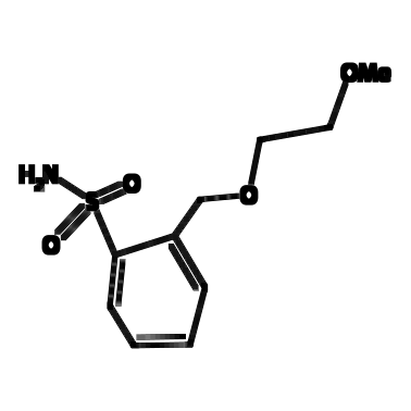 COCCOCc1ccccc1S(N)(=O)=O